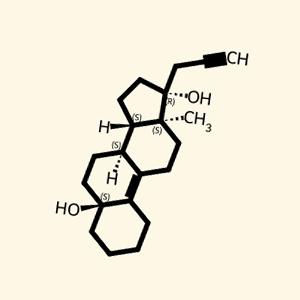 C#CC[C@]1(O)CC[C@H]2[C@@H]3CC[C@@]4(O)CCCCC4=C3CC[C@@]21C